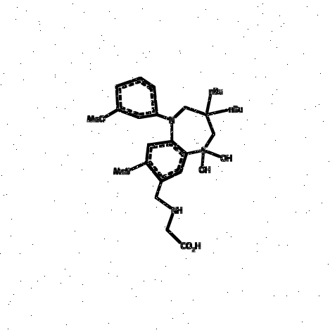 CCCCC1(CCCC)CN(c2cccc(OC)c2)c2cc(SC)c(CNCC(=O)O)cc2S(O)(O)C1